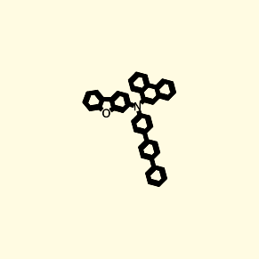 c1ccc(-c2ccc(-c3ccc(N(c4ccc5c(c4)oc4ccccc45)c4cc5ccccc5c5ccccc45)cc3)cc2)cc1